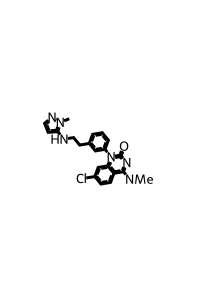 CNc1nc(=O)n(-c2cccc(CCNc3ccnn3C)c2)c2cc(Cl)ccc12